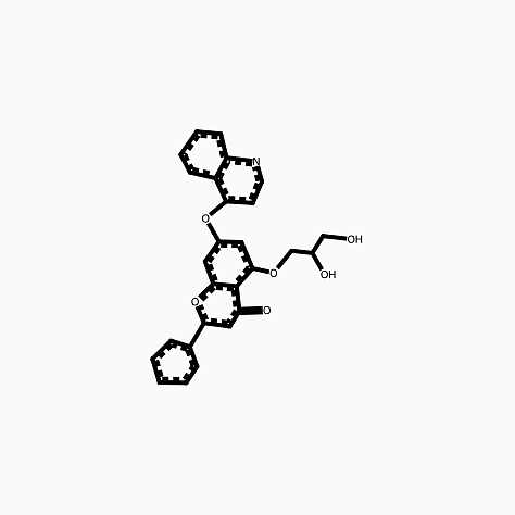 O=c1cc(-c2ccccc2)oc2cc(Oc3ccnc4ccccc34)cc(OCC(O)CO)c12